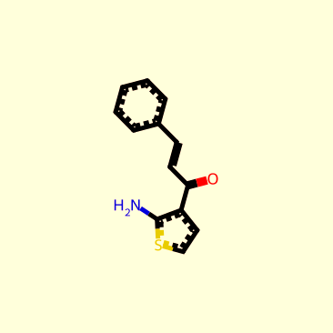 Nc1sccc1C(=O)C=Cc1ccccc1